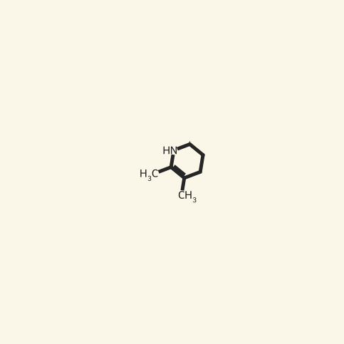 CC1=C(C)N[CH]CC1